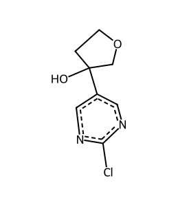 OC1(c2cnc(Cl)nc2)CCOC1